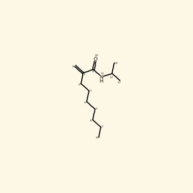 C=C(CCCCCCC)C(=O)NC(C)C